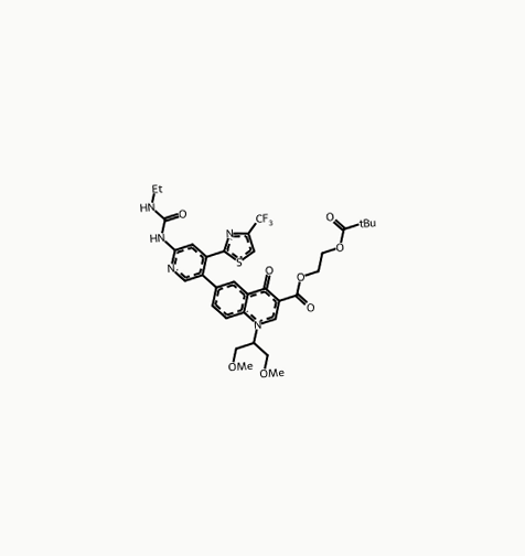 CCNC(=O)Nc1cc(-c2nc(C(F)(F)F)cs2)c(-c2ccc3c(c2)c(=O)c(C(=O)OCCOC(=O)C(C)(C)C)cn3C(COC)COC)cn1